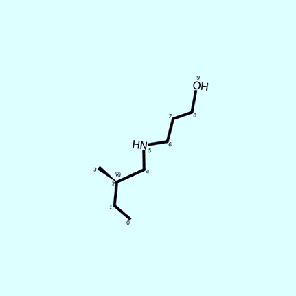 CC[C@@H](C)CNCCCO